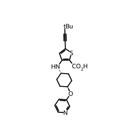 CC(C)(C)C#Cc1cc(N[C@H]2CC[C@H](Oc3cccnc3)CC2)c(C(=O)O)s1